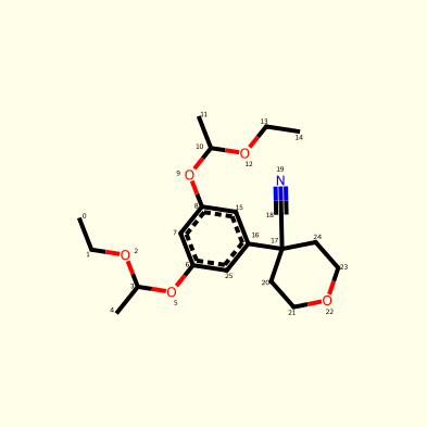 CCOC(C)Oc1cc(OC(C)OCC)cc(C2(C#N)CCOCC2)c1